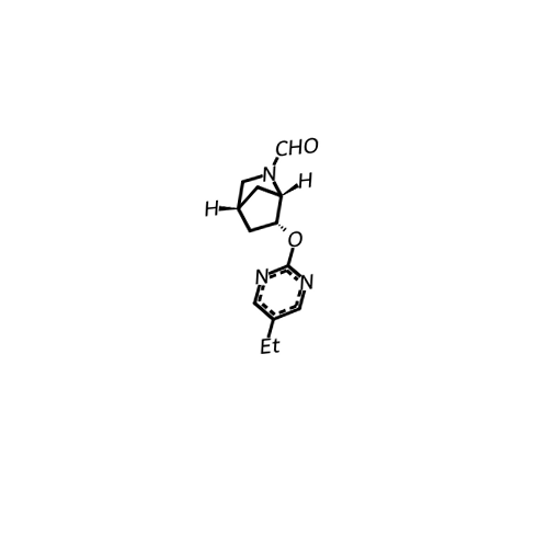 CCc1cnc(O[C@@H]2C[C@H]3C[C@@H]2N(C=O)C3)nc1